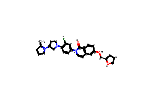 CC1CCCN1C1CCN(c2ccc(-n3ccc4cc(OC[C@H]5CCCO5)ccc4c3=O)cc2F)C1